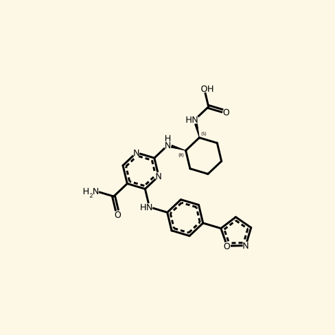 NC(=O)c1cnc(N[C@@H]2CCCC[C@@H]2NC(=O)O)nc1Nc1ccc(-c2ccno2)cc1